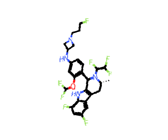 C[C@@H]1Cc2c([nH]c3c(F)cc(F)cc23)C(c2ccc(NC3CN(CCCF)C3)cc2OC(F)F)N1C(F)C(F)F